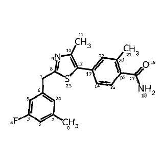 Cc1cc(F)cc(Cc2nc(C)c(-c3ccc(C(N)=O)c(C)c3)s2)c1